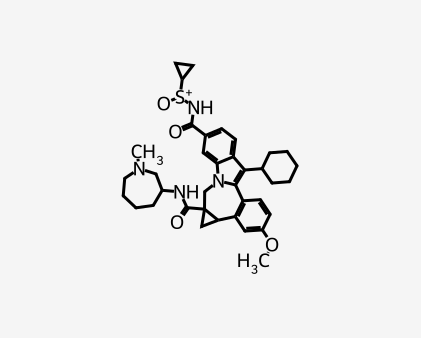 COc1ccc2c(c1)C1CC1(C(=O)NC1CCCCN(C)C1)Cn1c-2c(C2CCCCC2)c2ccc(C(=O)N[S+]([O-])C3CC3)cc21